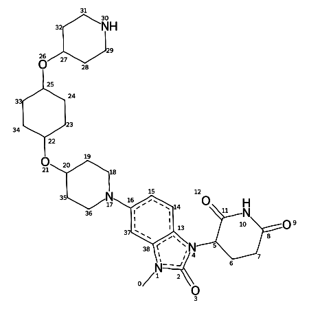 Cn1c(=O)n(C2CCC(=O)NC2=O)c2ccc(N3CCC(OC4CCC(OC5CCNCC5)CC4)CC3)cc21